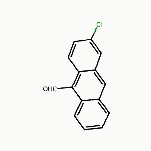 O=Cc1c2ccccc2cc2cc(Cl)ccc12